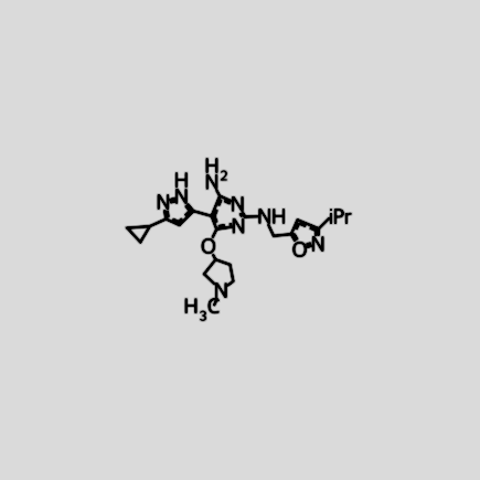 CC(C)c1cc(CNc2nc(N)c(-c3cc(C4CC4)n[nH]3)c(OC3CCN(C)C3)n2)on1